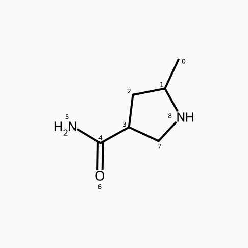 CC1CC(C(N)=O)CN1